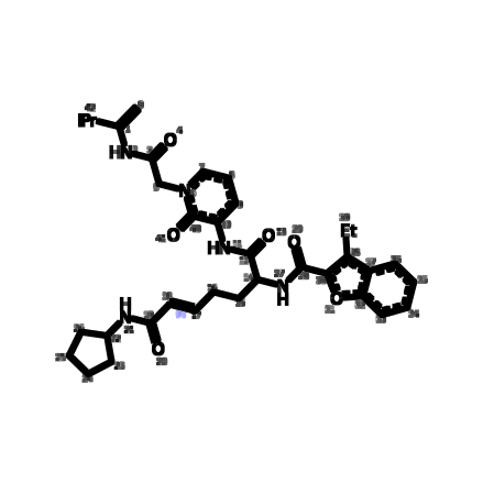 C=C(NC(=O)Cn1cccc(NC(=O)C(CC/C=C/C(=O)NC2CCCC2)NC(=O)c2oc3ccccc3c2CC)c1=O)C(C)C